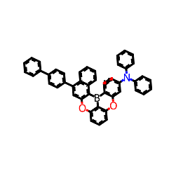 c1ccc(-c2ccc(-c3cc4c(c5ccccc35)B3c5c(cccc5Oc5cc(N(c6ccccc6)c6ccccc6)c6ccccc6c53)O4)cc2)cc1